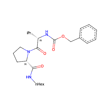 CCCCCCNC(=O)[C@@H]1CCCN1C(=O)[C@@H](NC(=O)OCc1ccccc1)C(C)C